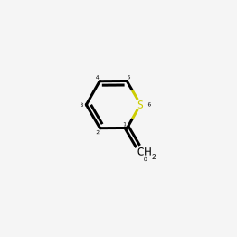 C=C1C=CC=CS1